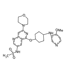 COc1ccncc1NC1CCC(Oc2nc(N3CCOCC3)cc3ncc(NS(C)(=O)=O)cc23)CC1